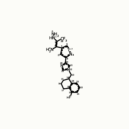 NN/C(=C(\N)c1ccnc(-c2cn(CC3CCCc4c(F)cccc43)cn2)c1)C(F)(F)F